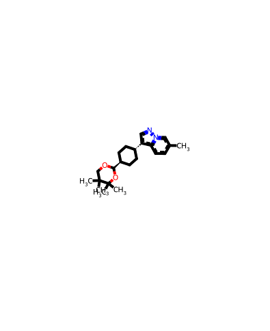 Cc1ccc2c([C@H]3CC[C@H](C4OCC(C)(C)C(C)(C)O4)CC3)cnn2c1